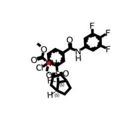 COC(=O)NC[C@@H]1CC2CC[C@@H](C1)[C@H]2S(=O)(=O)c1cc(C(=O)Nc2cc(F)c(F)c(F)c2)ccc1Cl